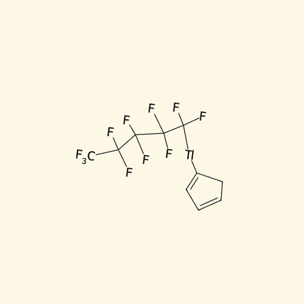 FC(F)(F)C(F)(F)C(F)(F)C(F)(F)[C](F)(F)[Tl][C]1=CC=CC1